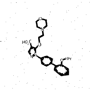 CCCOc1ccccc1-c1ccc(-n2ncc(C(=O)O)c2OCCN2CCOCC2)cc1